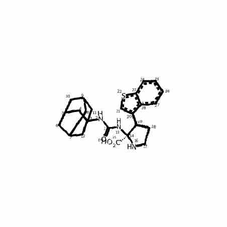 O=C(NC12CC3CC(CC(C3)C1)C2)N[C@]1(C(=O)O)NCCC1c1csc2ccccc12